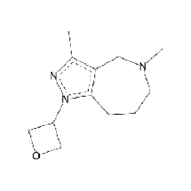 Cc1nn(C2COC2)c2c1CN(C)CCC2